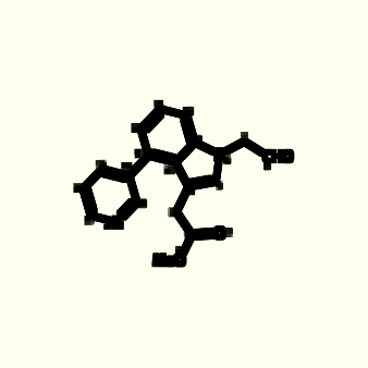 COC(=O)Cc1cn(CC=O)c2cccc(-c3cccnc3)c12